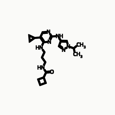 CC(C)n1cc(Nc2ncc(C3CC3)c(NCCCNC(=O)C3CCC3)n2)cn1